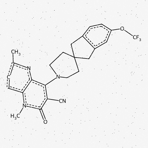 Cc1ccc2c(n1)c(N1CCC3(CC1)Cc1ccc(OC(F)(F)F)cc1C3)c(C#N)c(=O)n2C